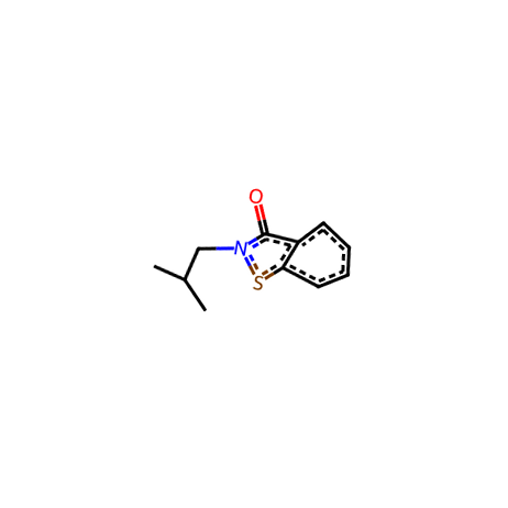 CC(C)Cn1sc2ccccc2c1=O